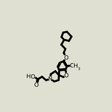 Cc1c(OCCCC2CCCCC2)ccc2c1OCC21CCN(CCC(=O)O)CC1